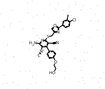 [C-]#[N+]c1c(N)nc(SCc2coc(-c3ccc(Cl)c(C)c3)n2)c(C#N)c1-c1ccc(OCCO)cc1